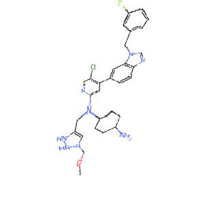 COCN1C=C(CN(c2cc(-c3ccc4ncn(Cc5cccc(F)c5)c4c3)c(Cl)cn2)C2CCC(N)CC2)NN1